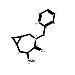 CNC1CC2CC2CN(Cc2ccccn2)C1=O